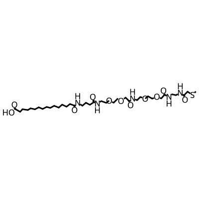 CSCC(=O)NCCNC(=O)COCCOCCNC(=O)COCCOCCNC(=O)CCCNC(=O)CCCCCCCCCCCCCCC(=O)O